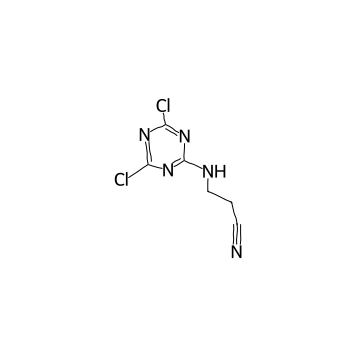 N#CCCNc1nc(Cl)nc(Cl)n1